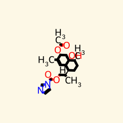 CC(=O)O[C@@H]1[CH][C@@]2(O)[C@H](C)CC[C@@H](C(C)COC(=O)n3ccnc3)[C@H]2C=C1C